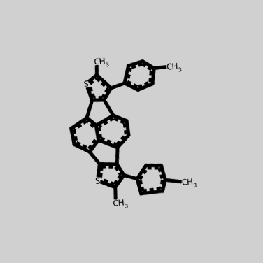 Cc1ccc(-c2c(C)sc3c2-c2ccc4c5c(ccc-3c25)-c2sc(C)c(-c3ccc(C)cc3)c2-4)cc1